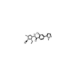 CC[C@@H]1[C@H](NC(=O)c2ccc(-c3ccnn3C)cc2Cl)C[C@H](C)N1C#N